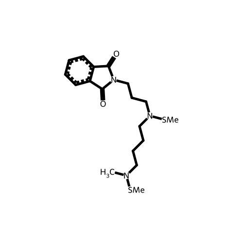 CSN(C)CCCCN(CCCN1C(=O)c2ccccc2C1=O)SC